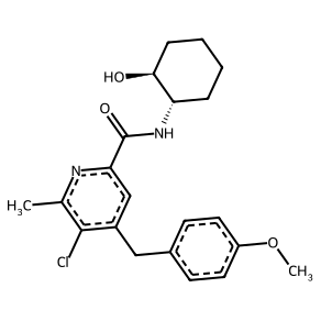 COc1ccc(Cc2cc(C(=O)N[C@H]3CCCC[C@@H]3O)nc(C)c2Cl)cc1